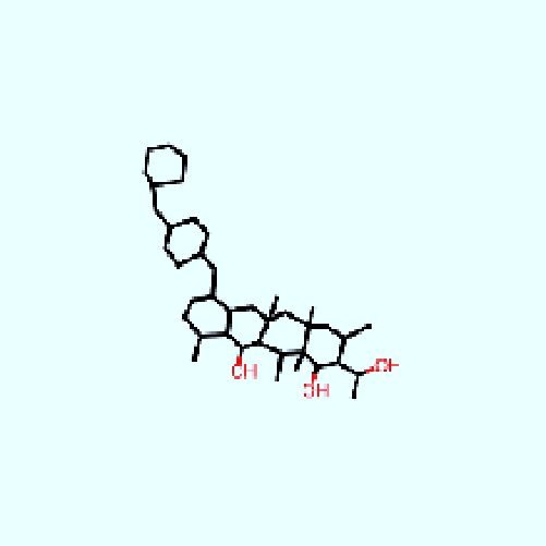 CC(O)C1C(C)CC2(C)CC3(C)CC4C(CC5CCC(CC6CCCCC6)CC5)CCC(C)C4C(O)C3C(C)C2(C)C1O